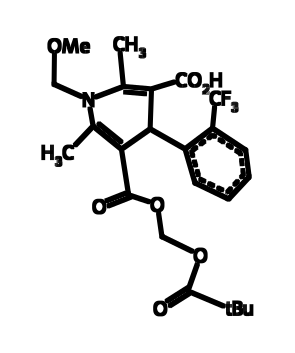 COCN1C(C)=C(C(=O)O)C(c2ccccc2C(F)(F)F)C(C(=O)OCOC(=O)C(C)(C)C)=C1C